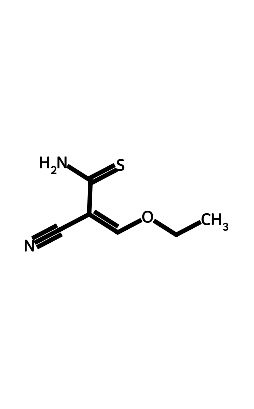 CCOC=C(C#N)C(N)=S